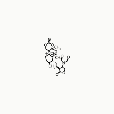 C=C1CC[C@H]2[C@@](C)(CC[C@@]3(C)OS(=O)OC[C@@]23C)[C@@H]1C/C=C1/C(=O)OCC1N(C=O)C=O